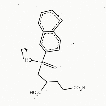 CCCC.O=C(O)CCC(CP(=O)(O)c1ccc2ccccc2c1)C(=O)O